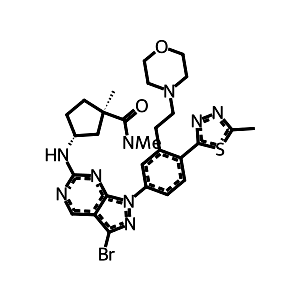 CNC(=O)[C@]1(C)CC[C@@H](Nc2ncc3c(Br)nn(-c4ccc(-c5nnc(C)s5)c(CCN5CCOCC5)c4)c3n2)C1